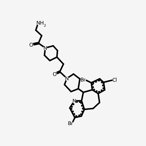 NCCC(=O)N1CCC(CC(=O)N2CCC(C3c4ncc(Br)cc4CCc4cc(Cl)cc(Br)c43)CC2)CC1